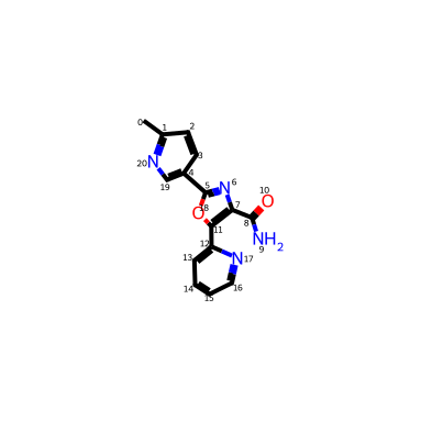 Cc1ccc(-c2nc(C(N)=O)c(-c3ccccn3)o2)cn1